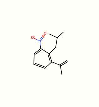 C=C(C)c1cccc([N+](=O)[O-])c1CC(C)C